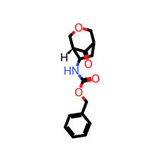 O=C(NC1CC2COC[C@@H]1C2=O)OCc1ccccc1